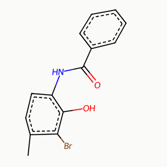 Cc1ccc(NC(=O)c2ccccc2)c(O)c1Br